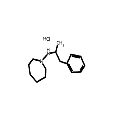 CC(Cc1ccccc1)NN1CCCCCC1.Cl